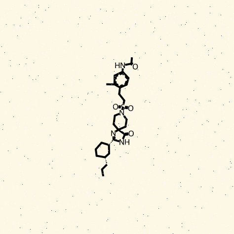 CCC[C@@H]1CCC[C@H](C2=NC3(CCN(S(=O)(=O)CCc4ccc(NC(C)=O)cc4C)CC3)C(=O)N2)C1